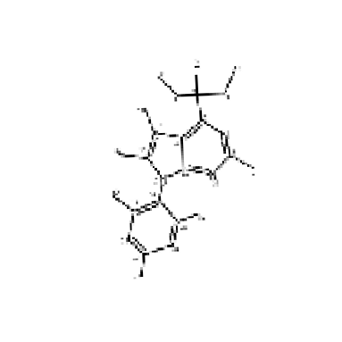 CCC(F)(CC)c1nc(C)nc2c1c(C)c(C)n2-c1c(C)cc(C)cc1C